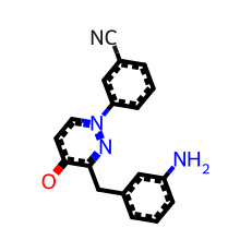 N#Cc1cccc(-n2ccc(=O)c(Cc3cccc(N)c3)n2)c1